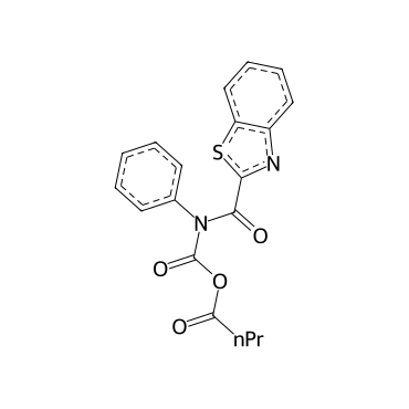 CCCC(=O)OC(=O)N(C(=O)c1nc2ccccc2s1)c1ccccc1